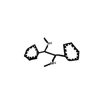 CNC(c1ccccc1)C(PC)c1ccccc1